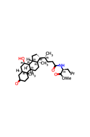 COC(=O)[C@H](CC(C)C)NC(=O)CC[C@@H](C)[C@H]1CC[C@H]2[C@@H]3[C@H](O)C[C@@H]4CC(=O)CC[C@]4(C)[C@H]3CC[C@]12C